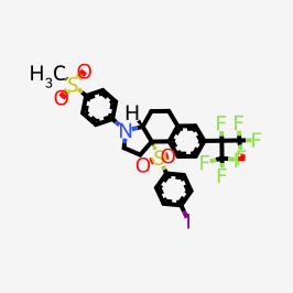 CS(=O)(=O)c1ccc(N2CC[C@@]3(S(=O)(=O)c4ccc(I)cc4)c4ccc(C(F)(C(F)(F)F)C(F)(F)F)cc4CC[C@@H]23)cc1